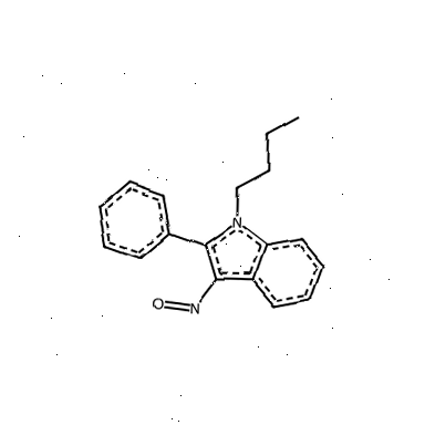 CCCCn1c(-c2ccccc2)c(N=O)c2ccccc21